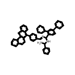 NC(NC(/N=C/c1ccc(-c2c3ccccc3cc3c2ccc2ccccc23)cc1)c1ccc(-c2ccccc2)cc1-c1ccccc1)c1ccccc1